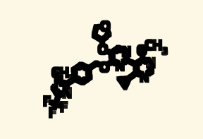 COc1ncnc(C2CC2)c1-c1ncc(OC2CCOC2)c(OCc2ccc(-c3nc(C(F)(F)F)cn3C)cc2)n1